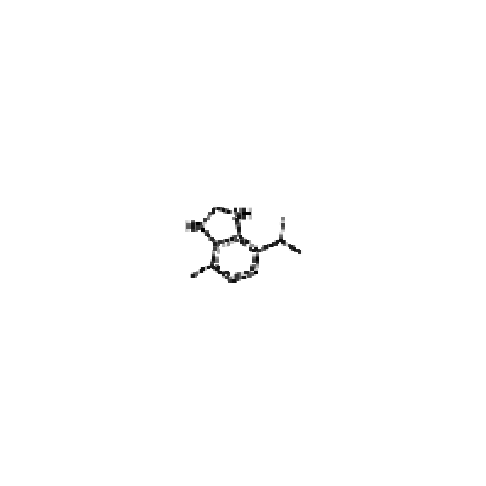 Cc1ccc(C(C)C)c2c1NCN2